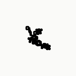 CC(O[Si](C)(C)C(C)(C)C)c1ccc(S(=O)(=O)N(C(C)C)[C@@H](C/C=C/C=O)CO[Si](C)(C)C(C)(C)C)cc1